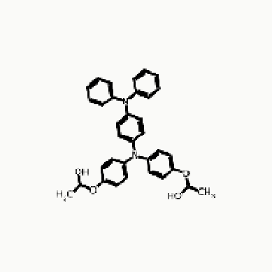 CC(O)Oc1ccc(N(c2ccc(OC(C)O)cc2)c2ccc(N(c3ccccc3)c3ccccc3)cc2)cc1